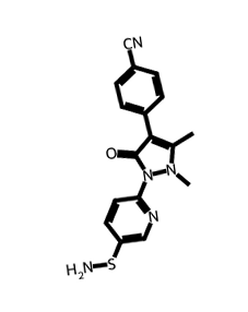 Cc1c(-c2ccc(C#N)cc2)c(=O)n(-c2ccc(SN)cn2)n1C